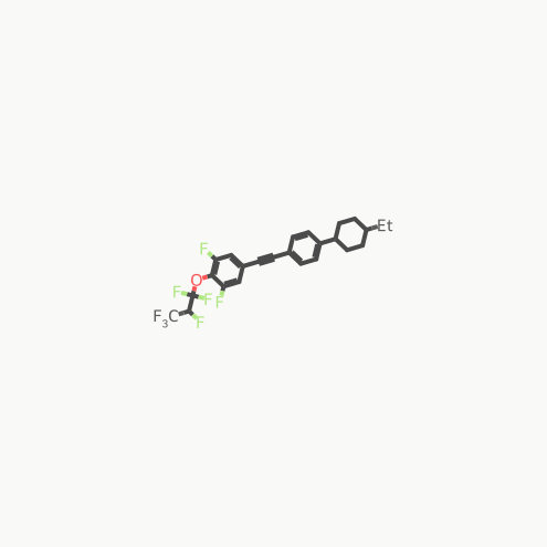 CCC1CCC(c2ccc(C#Cc3cc(F)c(OC(F)(F)C(F)C(F)(F)F)c(F)c3)cc2)CC1